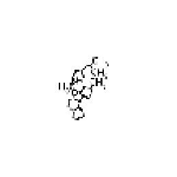 Cc1ccc2c(oc3ccc4ccccc4c32)c1-c1cc(CC(C)C)cc[n+]1C